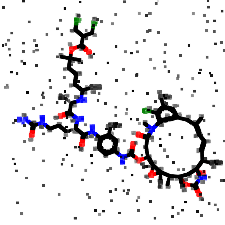 COc1cc(NC(=O)O[C@H]2CC(=O)N(C)c3cc(cc(OC)c3Cl)C/C(C)=C/C=C/[C@@H](OC)[C@@]3(O)C[C@H](OC(=O)N3)[C@@H](C)[C@@H]3O[C@@]23C)ccc1NC(=O)[C@H](CCCNC(N)=O)NC(=O)[C@@H](NC(C=O)CCCC(C)(C)OC(=O)C(CBr)CBr)C(C)C